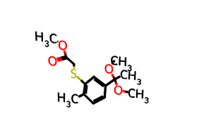 COC(=O)CSc1cc(C(C)(OC)OC)ccc1C